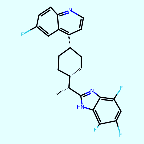 C[C@@H](c1nc2c(F)cc(F)c(F)c2[nH]1)[C@H]1CC[C@@H](c2ccnc3ccc(F)cc32)CC1